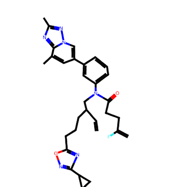 C=CC(CCCc1nc(C2CC2)no1)CN(C(=O)CCC(=C)F)c1cccc(-c2cc(C)c3nc(C)nn3c2)c1